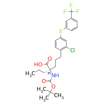 CCC[C@](CCCc1ccc(Sc2cccc(C(F)(F)F)c2)cc1Cl)(NC(=O)OC(C)(C)C)C(=O)O